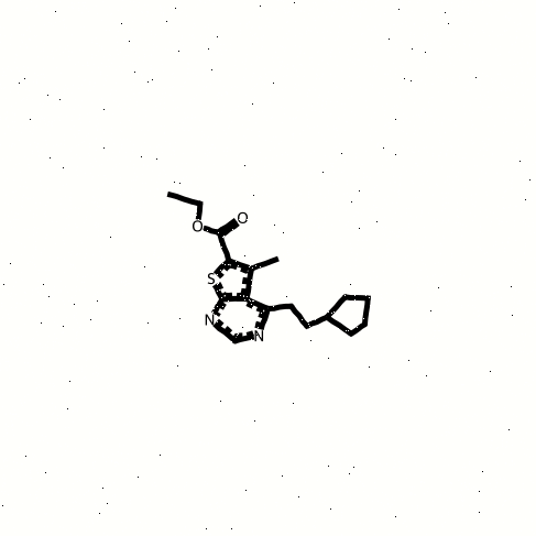 CCOC(=O)c1sc2ncnc(CCC3CCCC3)c2c1C